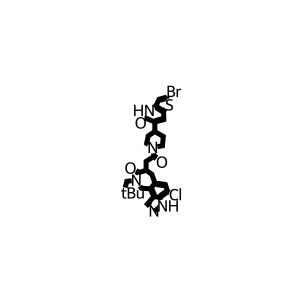 CC(C)(C)CN1Cc2c(cc(Cl)c3[nH]ncc23)CC(CC(=O)N2CCC(c3cc4sc(Br)cc4[nH]c3=O)CC2)C1=O